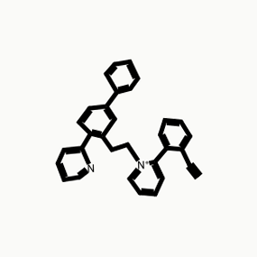 C#Cc1ccccc1-c1cccc[n+]1CCc1cc(-c2ccccc2)ccc1-c1ccccn1